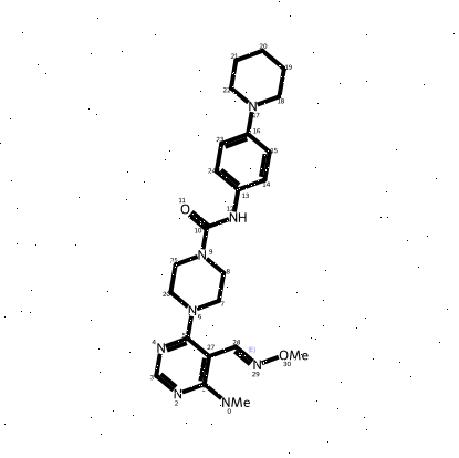 CNc1ncnc(N2CCN(C(=O)Nc3ccc(N4CCCCC4)cc3)CC2)c1/C=N/OC